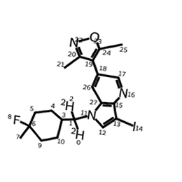 [2H]C([2H])(C1CCC(C)(F)CC1)n1cc(I)c2ncc(-c3c(C)noc3C)cc21